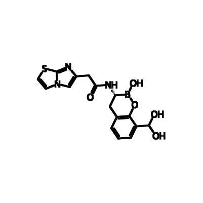 O=C(Cc1cn2ccsc2n1)N[C@H]1Cc2cccc(C(O)O)c2OB1O